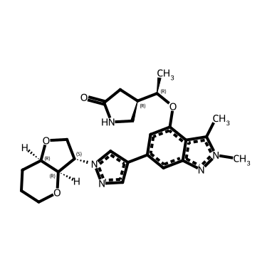 Cc1c2c(O[C@H](C)[C@H]3CNC(=O)C3)cc(-c3cnn([C@H]4CO[C@@H]5CCCO[C@@H]54)c3)cc2nn1C